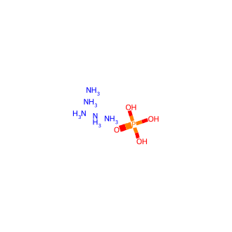 N.N.N.N.N.O=P(O)(O)O